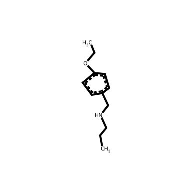 CCCNCc1ccc(OCC)cc1